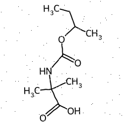 CCC(C)OC(=O)NC(C)(C)C(=O)O